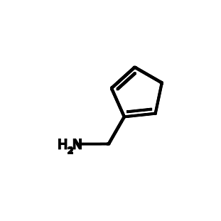 NCC1=CCC=C1